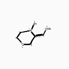 CO/C=C1/COCCN1C(C)C